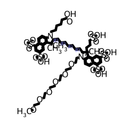 COCCOCCOCCOCCOCCOCC[N+]1=C(/C=C/C=C/C=C/C=C2/N(CCCCCC(=O)O)c3ccc4c(S(=O)(=O)[O-])cc(S(=O)(=O)O)cc4c3C2(C)C)C(C)(CCCS(=O)(=O)O)c2c1ccc1c(S(=O)(=O)O)cc(S(=O)(=O)O)cc21